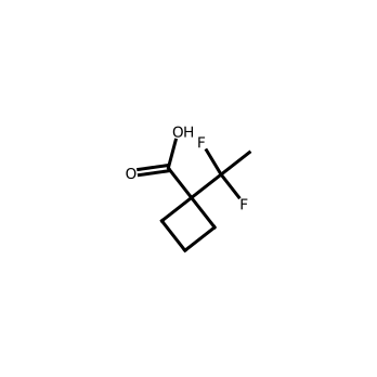 CC(F)(F)C1(C(=O)O)CCC1